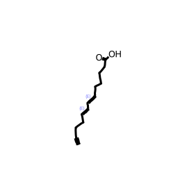 C#CCC/C=C/C=C/CCCCC(=O)O